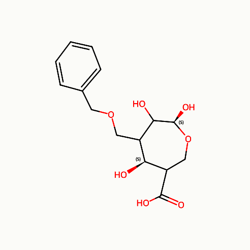 O=C(O)C1CO[C@H](O)C(O)C(COCc2ccccc2)[C@@H]1O